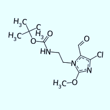 COc1nc(Cl)c(C=O)n1CCNC(=O)OC(C)(C)C